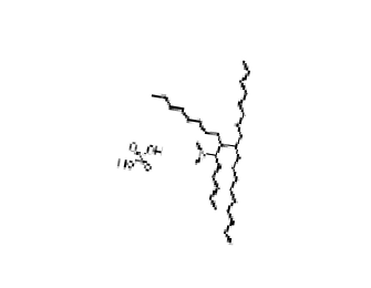 CCCCCCCCCC(CCCCCCCC)C(CCCCCCCC)C(CCCCC)N(C)C.O=S(=O)(O)O